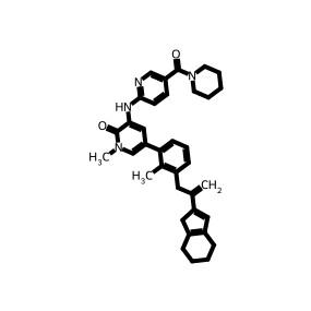 C=C(Cc1cccc(-c2cc(Nc3ccc(C(=O)N4CCCCC4)cn3)c(=O)n(C)c2)c1C)C1=CC2=C(CCCC2)C1